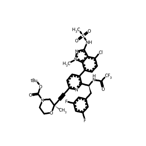 Cn1nc(NS(C)(=O)=O)c2c(Cl)ccc(-c3ccc(C#C[C@]4(C)CN(C(=O)OC(C)(C)C)CCO4)nc3[C@H](Cc3cc(F)cc(F)c3)NC(=O)C(F)(F)F)c21